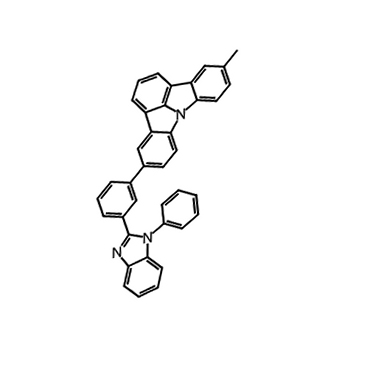 Cc1ccc2c(c1)c1cccc3c4cc(-c5cccc(-c6nc7ccccc7n6-c6ccccc6)c5)ccc4n2c13